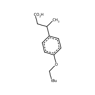 CC(CC(=O)O)c1ccc(OCC(C)(C)C)cc1